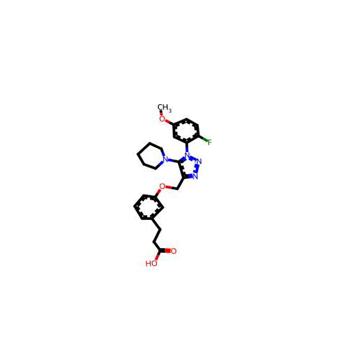 COc1ccc(F)c(-n2nnc(COc3cccc(CCC(=O)O)c3)c2N2CCCCC2)c1